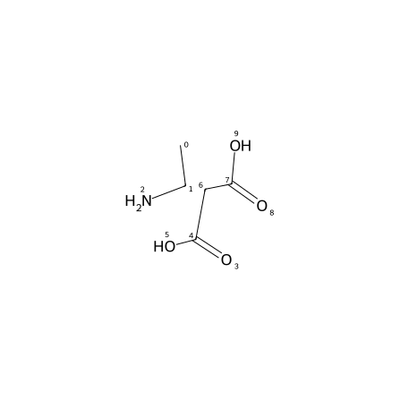 CCN.O=C(O)CC(=O)O